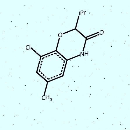 Cc1cc(Cl)c2c(c1)NC(=O)C(C(C)C)O2